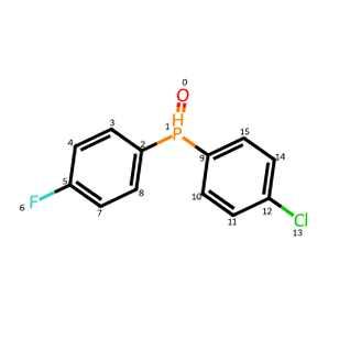 O=[PH](c1ccc(F)cc1)c1ccc(Cl)cc1